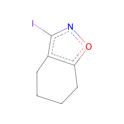 Ic1noc2c1CCCC2